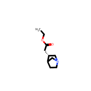 CCOC(=O)C[C@@H]1CN2CCC1C2